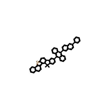 CC1(C)c2ccc(-c3c4ccccc4c(-c4ccc5cc(-c6ccccc6)ccc5c4)c4ccccc34)cc2-c2ccc3sc4c5ccccc5ccc4c3c21